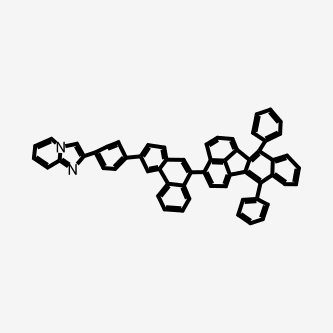 c1ccc(-c2c3c(c(-c4ccccc4)c4ccccc24)-c2ccc(-c4cc5ccc(-c6ccc(-c7cn8ccccc8n7)cc6)cc5c5ccccc45)c4cccc-3c24)cc1